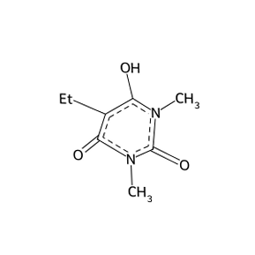 CCc1c(O)n(C)c(=O)n(C)c1=O